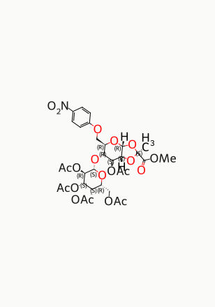 COC(=O)[C@]1(C)O[C@H]2O[C@H](COc3ccc([N+](=O)[O-])cc3)[C@@H](O[C@@H]3O[C@H](COC(C)=O)[C@H](OC(C)=O)[C@H](OC(C)=O)[C@H]3OC(C)=O)[C@H](OC(C)=O)[C@H]2O1